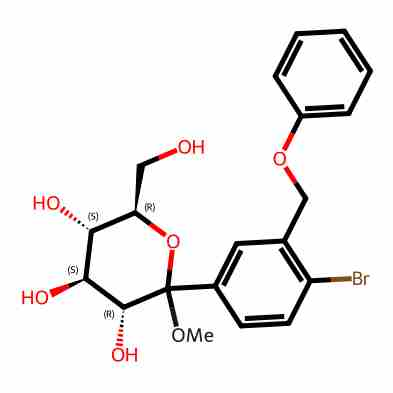 COC1(c2ccc(Br)c(COc3ccccc3)c2)O[C@H](CO)[C@@H](O)[C@H](O)[C@H]1O